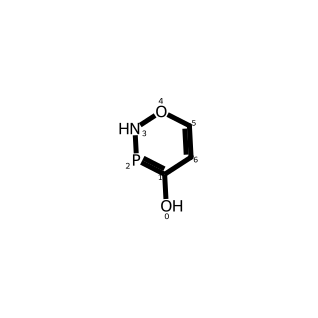 OC1=PNOC=C1